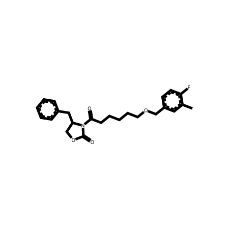 Cc1cc(COCCCCCC(=O)N2C(=O)OCC2Cc2ccccc2)ccc1F